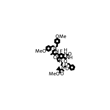 COC(=O)C1(C(C)N(CCN2CCc3c(-c4nc(N(Cc5ccc(OC)cc5)Cc5ccc(OC)cc5)cc(C)c4C(F)(F)F)c(F)c4[nH]c(=O)[nH]c(=O)c4c32)C(=O)OCc2ccccc2)CC1